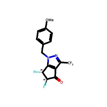 COc1ccc(Cn2nc(C(F)(F)F)c3c2[C@@H](F)[C@H](F)C3=O)cc1